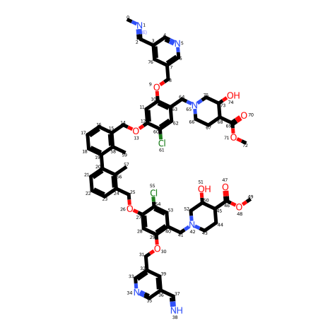 C/N=C/c1cncc(COc2cc(OCc3cccc(-c4cccc(COc5cc(OCc6cncc(C=N)c6)c(CN6CCC(C(=O)OC)C(O)C6)cc5Cl)c4C)c3C)c(Cl)cc2CN2CCC(C(=O)OC)C(O)C2)c1